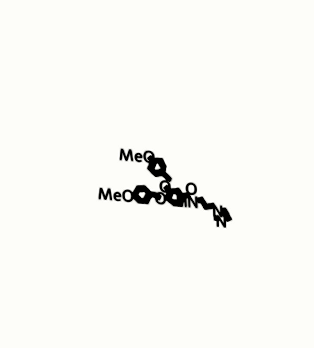 COc1ccc(COc2ccc(C(=O)NCCCn3ccnc3)cc2OCc2ccc(OC)cc2)cc1